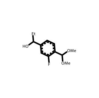 CCC(O)c1ccc(C(OC)OC)c(F)c1